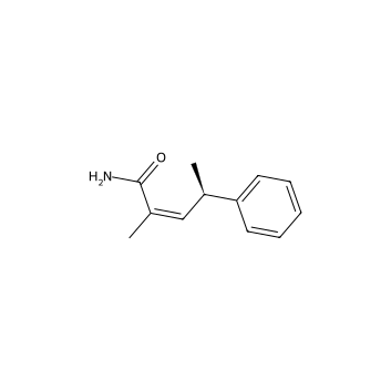 CC(=C[C@@H](C)c1ccccc1)C(N)=O